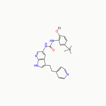 CCOc1ccc([Si](C)(C)C)cc1NC(=O)Nc1cnc2[nH]cc(CCc3ccncc3)c2c1